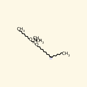 CCCCCC/C=C\CCCCCCCCOC[C@H](COCCCCCCCC)N(C)C